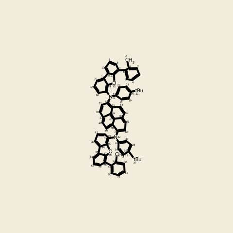 Cc1ccccc1-c1cccc2c1oc1c(N(c3ccc(C(C)(C)C)cc3)c3ccc4ccc5c(N(c6ccc(C(C)(C)C)cc6)c6cccc7c6oc6c(-c8ccccc8C)cccc67)ccc6ccc3c4c65)cccc12